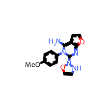 COc1ccc(N2C(N)=c3ccoc3=NC2N2NC=CO2)cc1